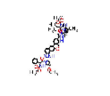 COC[C@H]1C[C@@H](c2nc3ccc4cc5c(cc4c3[nH]2)OCc2cc(-c3cnc([C@@H]4C6[C@@H]7[C@H](N4C(=O)[C@@H](NC(=O)OC)C(C)C)[C@]67C)[nH]3)ccc2-5)N(C(=O)[C@H](NC(=O)OC)c2ccccc2)C1